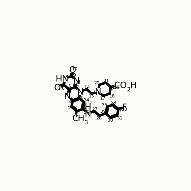 Cc1cc2nc3c(=O)[nH]c(=O)nc-3n(CCN3CCC(C(=O)O)CC3)c2cc1NCCc1ccc(F)cc1